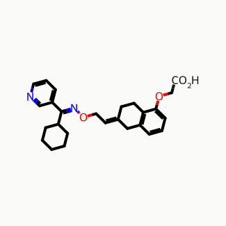 O=C(O)COc1cccc2c1CCC(=CCON=C(c1cccnc1)C1CCCCC1)C2